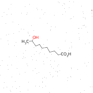 CC(O)CCCCCCCC(=O)O